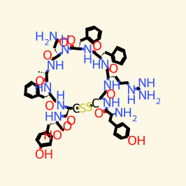 C[C@@H]1NC(=O)[C@H](CC(N)=O)NC(=O)[C@H](Cc2ccccc2)NC(=O)[C@H](Cc2ccccc2)NC(=O)[C@H](CCCNC(=N)N)NC(=O)[C@@H](NC(=O)[C@@H](N)Cc2ccc(O)cc2)CSSC[C@@H](C(=O)N[C@@H](Cc2ccc(O)cc2)C(=O)O)NC(=O)[C@H](Cc2ccccc2)NC1=O